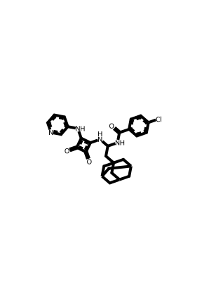 O=C(NC(CC12CC3CC(CC(C3)C1)C2)Nc1c(Nc2cccnc2)c(=O)c1=O)c1ccc(Cl)cc1